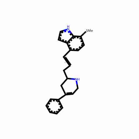 CSc1ccc(/C=C/CC2CC(c3ccccc3)=CCN2)c2cc[nH]c12